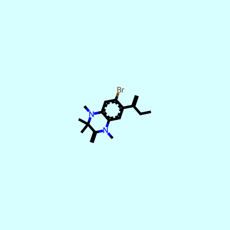 C=C(CC)c1cc2c(cc1Br)N(C)C(C)(C)C(=C)N2C